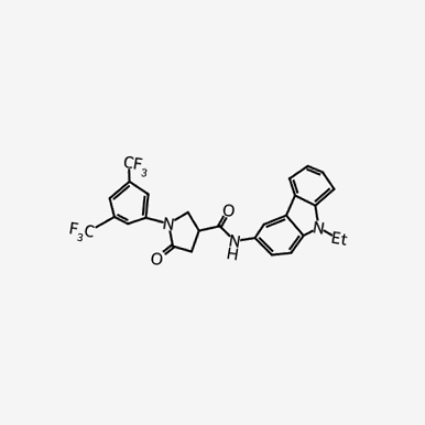 CCn1c2ccccc2c2cc(NC(=O)C3CC(=O)N(c4cc(C(F)(F)F)cc(C(F)(F)F)c4)C3)ccc21